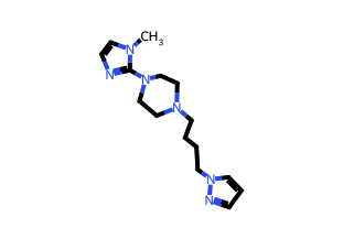 Cn1ccnc1N1CCN(CCCCn2cccn2)CC1